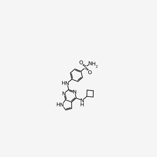 NS(=O)(=O)c1ccc(Nc2nc(NC3CCC3)c3cc[nH]c3n2)cc1